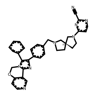 N#Cc1nccc(N2CC[C@]3(CCN(Cc4ccc(-c5nc6n(c5-c5ccccc5)COc5ccncc5-6)cc4)C3)C2)n1